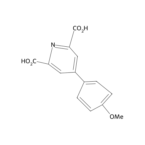 COc1ccc(-c2cc(C(=O)O)nc(C(=O)O)c2)cc1